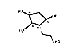 C[C@@H]1[C@@H](CCC=O)[C@H](O)C[C@@H]1O